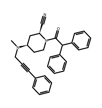 CN(CC#Cc1ccccc1)[C@@H]1CCN(C(=O)C(c2ccccc2)c2ccccc2)[C@H](C#N)C1